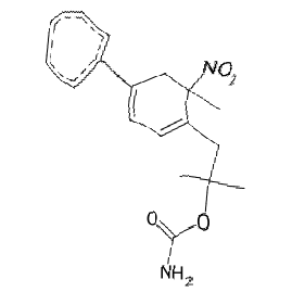 CC(C)(CC1=CC=C(c2ccccc2)CC1(C)[N+](=O)[O-])OC(N)=O